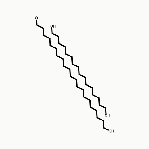 OCCCCCCCCCCCCCCCCCCCCCO.OCCCCCCCCCCCCCCCCO